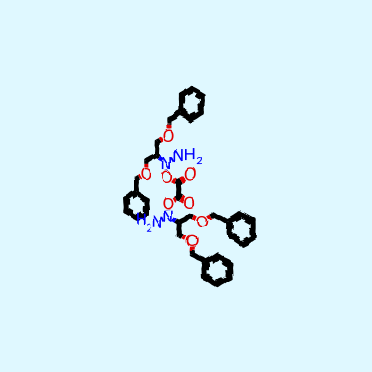 NN(OC(=O)C(=O)ON(N)C(COCc1ccccc1)COCc1ccccc1)C(COCc1ccccc1)COCc1ccccc1